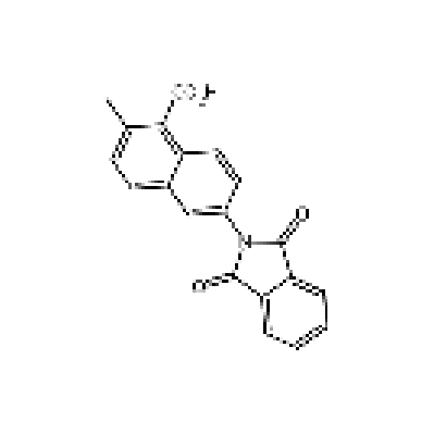 Cc1ccc2cc(N3C(=O)c4ccccc4C3=O)ccc2c1C(=O)O